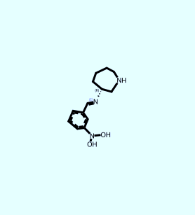 ON(O)c1cccc(/C=N/[C@@H]2CCCCNC2)c1